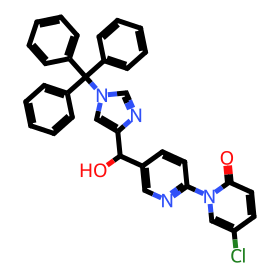 O=c1ccc(Cl)cn1-c1ccc(C(O)c2cn(C(c3ccccc3)(c3ccccc3)c3ccccc3)cn2)cn1